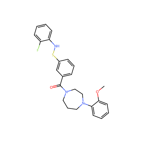 COc1ccccc1N1CCCN(C(=O)c2cccc(SNc3ccccc3F)c2)CC1